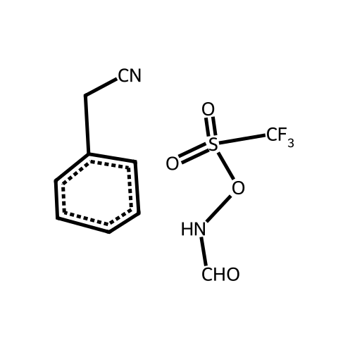 N#CCc1ccccc1.O=CNOS(=O)(=O)C(F)(F)F